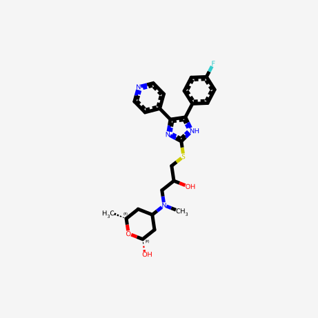 C[C@@H]1CC(N(C)CC(O)CSc2nc(-c3ccncc3)c(-c3ccc(F)cc3)[nH]2)C[C@H](O)O1